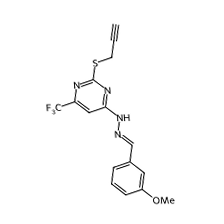 C#CCSc1nc(NN=Cc2cccc(OC)c2)cc(C(F)(F)F)n1